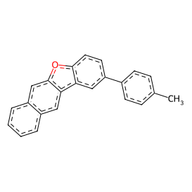 Cc1ccc(-c2ccc3oc4cc5ccccc5cc4c3c2)cc1